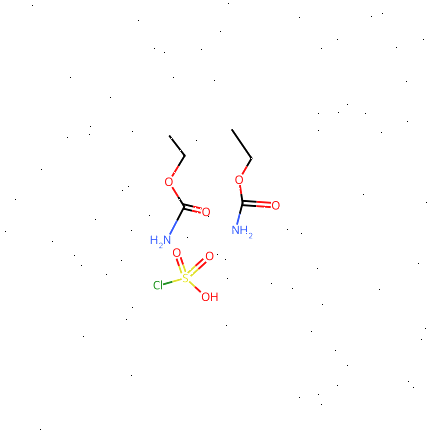 CCOC(N)=O.CCOC(N)=O.O=S(=O)(O)Cl